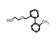 Cc1ccccc1-c1ccccc1COCCO